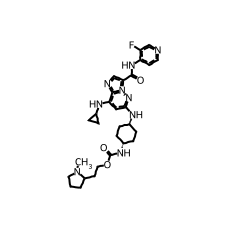 CN1CCCC1CCOC(=O)N[C@H]1CC[C@H](Nc2cc(NC3CC3)c3ncc(C(=O)Nc4ccncc4F)n3n2)CC1